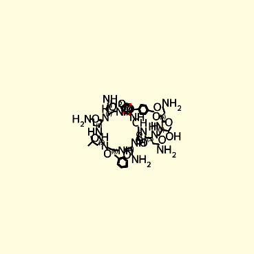 CC(C)C[C@@H]1NC(=O)[C@@H](Cc2ccccc2)NC(=O)[C@H](CCN)NC(=O)[C@@H](NC(=O)[C@H](CCN)NC(=O)[C@@H](NC(=O)[C@H](CCN)OC(=O)c2ccc(-c3ccccc3)cc2)C(C)O)CCNC(=O)[C@H]([C@H](C)O)NC(=O)[C@H](CCN)NC(=O)[C@H](CCN)NC1=O